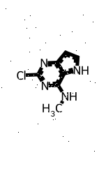 CNc1nc(Cl)nc2cc[nH]c12